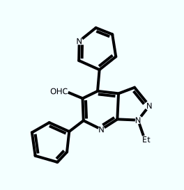 CCn1ncc2c(-c3cccnc3)c(C=O)c(-c3ccccc3)nc21